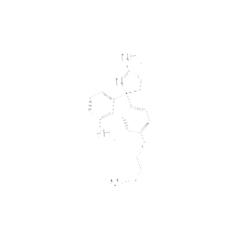 Bc1cccc(C2(c3ccc(OCCOC)cc3)COC(N)=N2)c1